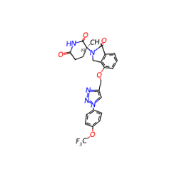 C[C@]1(N2Cc3c(OCc4cn(-c5ccc(OC(F)(F)F)cc5)nn4)cccc3C2=O)CCC(=O)NC1=O